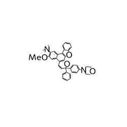 COc1cc2c3c(c4oc5ccccc5c4c2cc1N(C)C)OC(c1ccccc1)(c1ccc(N2CCOCC2)cc1)C=C3